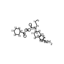 CCCN(C(=O)OOC(=O)C1CCCCC1)[C@H]1CCc2nc(N)sc2C1